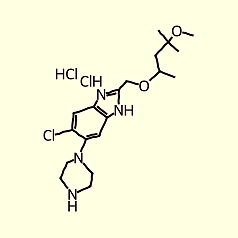 COC(C)(C)CC(C)OCc1nc2cc(Cl)c(N3CCNCC3)cc2[nH]1.Cl.Cl